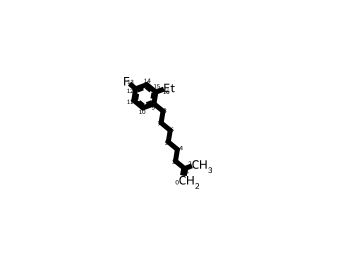 C=C(C)CCCCCCc1ccc(F)cc1CC